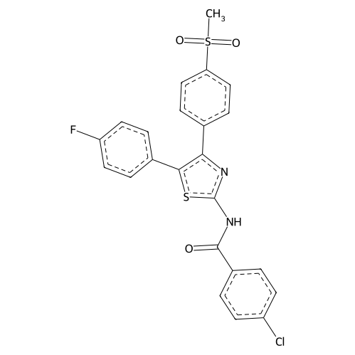 CS(=O)(=O)c1ccc(-c2nc(NC(=O)c3ccc(Cl)cc3)sc2-c2ccc(F)cc2)cc1